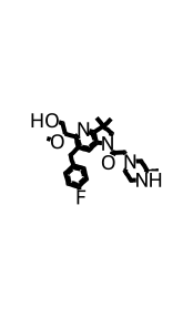 COC(CO)c1nc2c(cc1Cc1ccc(F)cc1)N(C(=O)CN1CCN[C@H](C)C1)CC2(C)C